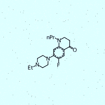 CCCN1CCC(=O)c2cc(F)c(N3CCN(CC)CC3)cc21